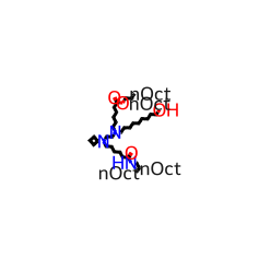 CCCCCCCCC(CCCCCCCC)CNC(=O)CCCCCN(CCN(CCCCCCCCCO)CCCCCC(=O)OCC(CCCCCCCC)CCCCCCCC)C1CCC1